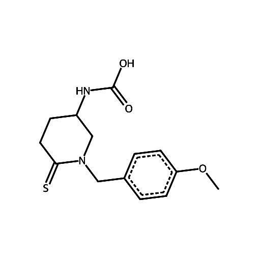 COc1ccc(CN2CC(NC(=O)O)CCC2=S)cc1